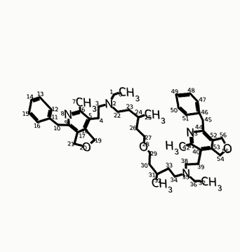 CCN(CCc1c(C)nc(Cc2ccccc2)c2c1COC2)CCC(C)CCOCCC(C)CCN(CC)CCc1c(C)nc(Cc2ccccc2)c2c1COC2